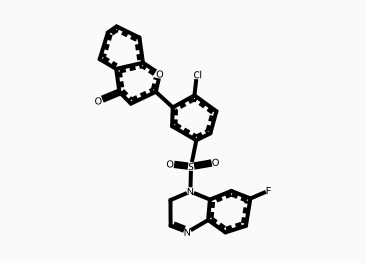 O=c1cc(-c2cc(S(=O)(=O)N3CC=Nc4ccc(F)cc43)ccc2Cl)oc2ccccc12